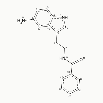 Nc1ccc2[nH]cc(CCNC(=O)c3ccccc3)c2c1